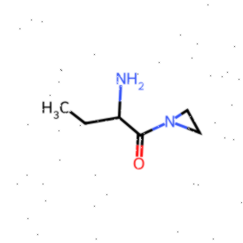 CCC(N)C(=O)N1CC1